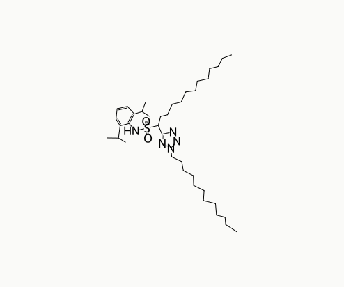 CCCCCCCCCCCCC(c1nnn(CCCCCCCCCCCC)n1)S(=O)(=O)Nc1c(C(C)C)cccc1C(C)C